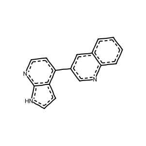 c1ccc2ncc(-c3ccnc4[nH]ccc34)cc2c1